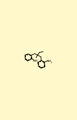 CCC(C)(Cc1ccccc1N)Cc1ccccc1N